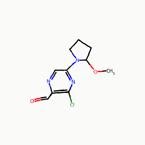 COC1CCCN1c1cnc(C=O)c(Cl)n1